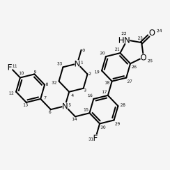 CN1CCC(N(Cc2ccc(F)cc2)Cc2cc(-c3ccc4[nH]c(=O)oc4c3)ccc2F)CC1